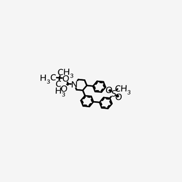 CC(C)(C)OC(=O)N1CCC(c2ccccc2)C(c2cccc(-c3cccc(S(C)(=O)=O)c3)c2)C1